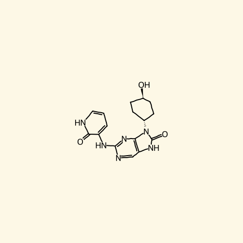 O=c1[nH]cccc1Nc1ncc2[nH]c(=O)n([C@H]3CC[C@H](O)CC3)c2n1